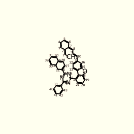 C/C=c1/cccc/c1=C/C=C/c1ccc2c(c1)oc1cccc(-c3nc(C4=CC=C5C=CC=CC5C4)nc(-c4ccccc4)n3)c12